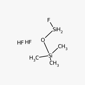 C[Si](C)(C)O[SiH2]F.F.F